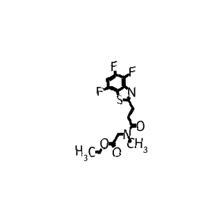 CCOC(=O)CN(C)C(=O)CCc1nc2c(F)c(F)cc(F)c2s1